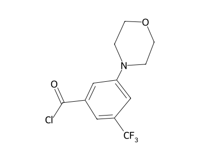 O=C(Cl)c1cc(N2CCOCC2)cc(C(F)(F)F)c1